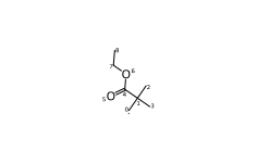 [CH2]C(C)(C)C(=O)OCC